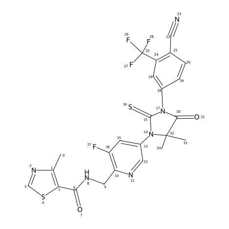 Cc1ncsc1C(=O)NCc1ncc(N2C(=S)N(c3ccc(C#N)c(C(F)(F)F)c3)C(=O)C2(C)C)cc1F